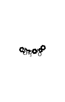 CC1CCCCN1CCCOc1ccc(N2CC3(CCCCC3)CC2=O)cc1